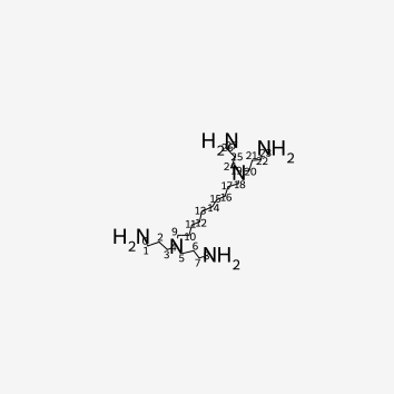 NCCCN(CCCN)CCCCCCCCCCN(CCCN)CCCN